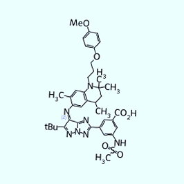 COc1ccc(OCCCN2c3cc(C)c(/N=C4/C(C(C)(C)C)=Nn5nc(-c6cc(NS(C)(=O)=O)cc(C(=O)O)c6)nc54)cc3C(C)CC2(C)C)cc1